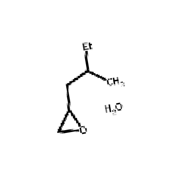 CCC(C)CC1CO1.O